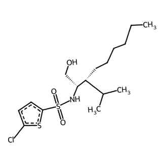 CCCCCC[C@H](C(C)C)[C@@H](CO)NS(=O)(=O)c1ccc(Cl)s1